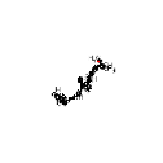 CC1(C)CCC(CN2CCN(c3ccc(C(=O)NS(=O)(=O)c4ccc(N[C@H](CCN5CCC(NCCCCNc6cccc7c6C(=O)N(C6CCC(=O)NC6=O)C7=O)CC5)CSc5ccccc5)c(S(=O)(=O)C(F)(F)F)c4)cc3)CC2)=C(C23CC(C)(C2)C3)C1